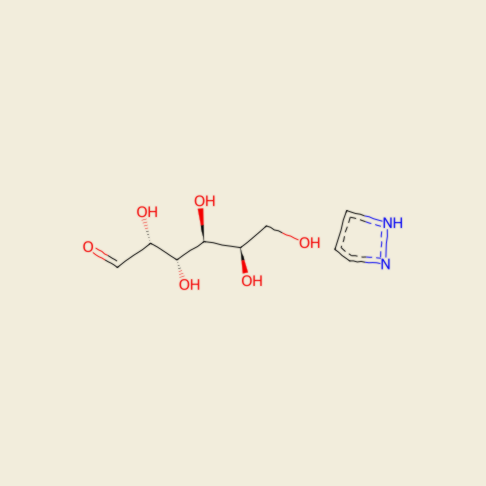 O=C[C@H](O)[C@@H](O)[C@@H](O)[C@H](O)CO.c1cn[nH]c1